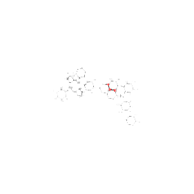 c1ccc(-c2ccc(N(c3ccc4cc(-c5ccc6c(c5)-c5ccccc5C65c6ccccc6N(c6ccccc6)c6ccccc65)ccc4c3)c3ccccc3-c3ccccc3)cc2)cc1